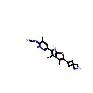 Cc1cc(-c2[nH]c3sc(C4CC5(CNC5)C4)c(C)c3c2C(C)C)c[nH]/c1=N\C=N